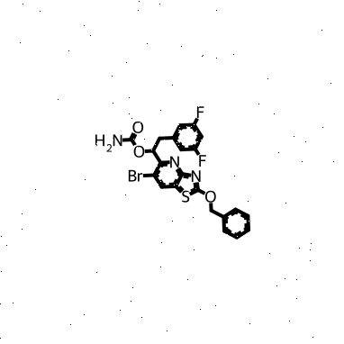 NC(=O)OC(Cc1cc(F)cc(F)c1)c1nc2nc(OCc3ccccc3)sc2cc1Br